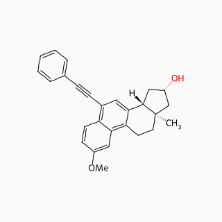 COc1ccc2c(C#Cc3ccccc3)cc3c(c2c1)CC[C@]1(C)C[C@@H](O)C[C@@H]31